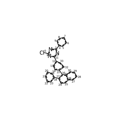 Clc1nc(-c2ccccc2)nc(-c2ccc(-c3c(-c4ccccc4)ccc4ccccc34)cc2)n1